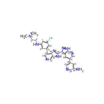 CN(C)CCNc1cc(F)cc(-c2cncc3[nH]c(-c4n[nH]c5ncc(-c6cncc(N)c6)cc45)nc23)c1